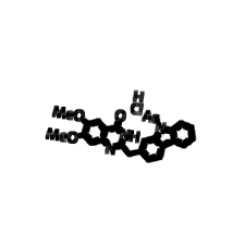 COc1cc2nc(Cc3ccc4c5ccccc5n(C(C)=O)c4c3)[nH]c(=O)c2cc1OC.Cl